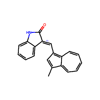 Cc1cc(/C=C2/C(=O)Nc3ccccc32)c2cccccc1-2